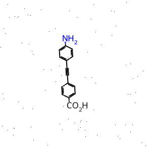 Nc1ccc(C#Cc2ccc(C(=O)O)cc2)cc1